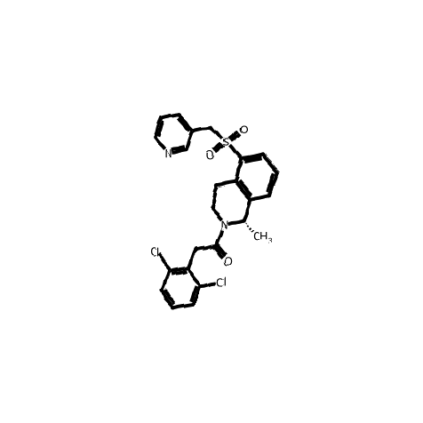 C[C@H]1c2cccc(S(=O)(=O)Cc3cccnc3)c2CCN1C(=O)Cc1c(Cl)cccc1Cl